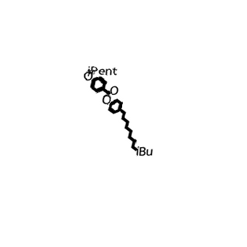 CCC[C@@H](C)Oc1ccc(C(=O)Oc2ccc(CCCCCCCCC(C)CC)cc2)cc1